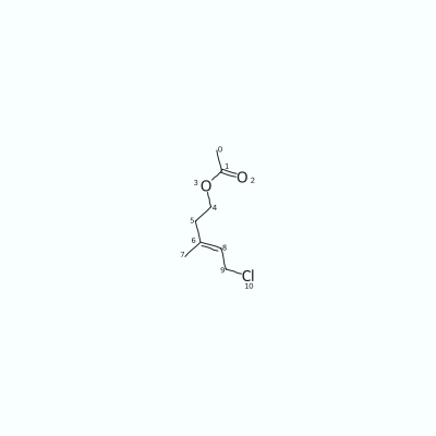 CC(=O)OCCC(C)=CCCl